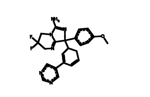 COc1ccc(C2(C3C=C(c4cncnc4)C=CC3)N=C(N)N3CC(F)(F)CN=C32)cc1